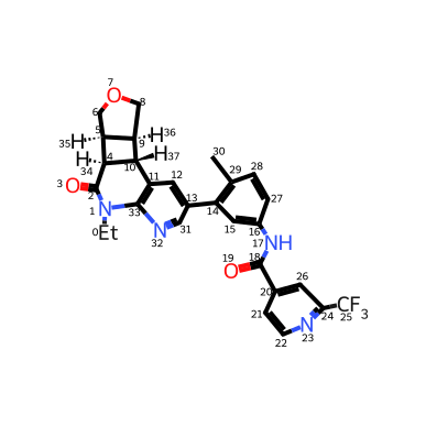 CCN1C(=O)[C@H]2[C@H]3COC[C@H]3[C@@H]2c2cc(-c3cc(NC(=O)c4ccnc(C(F)(F)F)c4)ccc3C)cnc21